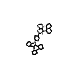 c1ccc2c(-c3nc(-c4ccc(-n5c6ccccc6c6c7ccccc7c7ccccc7c65)cc4)nc4nccnc34)cccc2c1